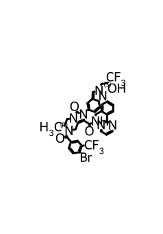 C[C@@H]1Cn2c(c(C(=O)NCc3ccccc3-c3ncccn3)n(-c3ccc4nn(C[C@H](O)C(F)(F)F)cc4c3)c2=O)CN1C(=O)c1ccc(Br)c(C(F)(F)F)c1